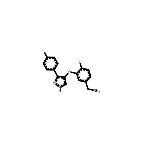 NCc1ccc(F)c(Oc2c[nH]nc2-c2ccc(F)cc2)c1